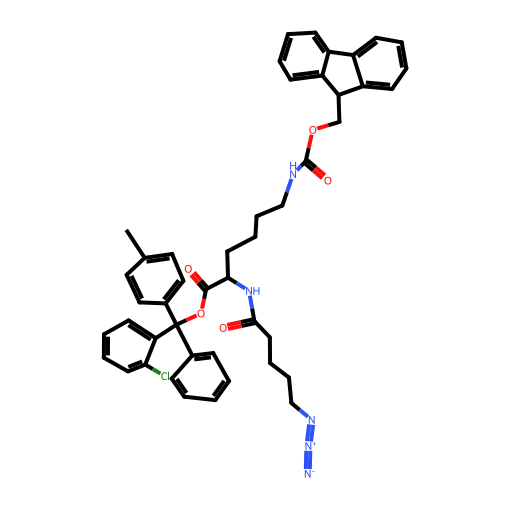 Cc1ccc(C(OC(=O)C(CCCCNC(=O)OCC2c3ccccc3-c3ccccc32)NC(=O)CCCCN=[N+]=[N-])(c2ccccc2)c2ccccc2Cl)cc1